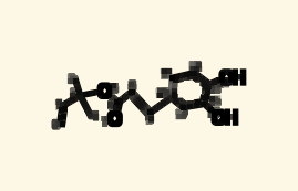 C=CC(C)(C)OC(=O)C=Cc1ccc(O)c(O)c1